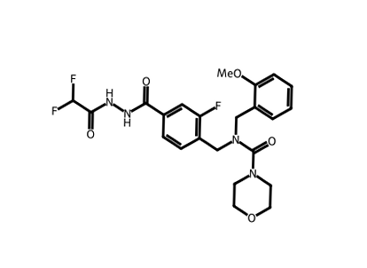 COc1ccccc1CN(Cc1ccc(C(=O)NNC(=O)C(F)F)cc1F)C(=O)N1CCOCC1